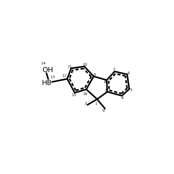 CC1(C)c2ccccc2-c2ccc(BO)cc21